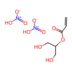 C=CC(=O)OC(CO)CO.O=[N+]([O-])O.O=[N+]([O-])O